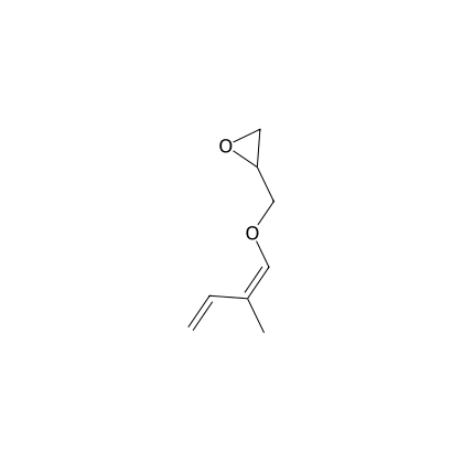 C=CC(C)=COCC1CO1